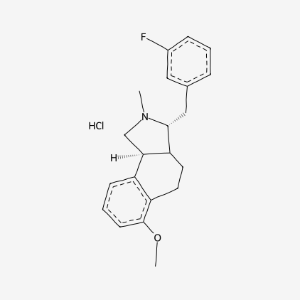 COc1cccc2c1CCC1[C@@H]2CN(C)[C@@H]1Cc1cccc(F)c1.Cl